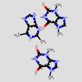 Cc1nc(C)c2nc[nH]c2n1.Cn1cnc2c1c(=O)[nH]c(=O)n2C.Cn1cnc2c1c(=O)[nH]c(=O)n2C